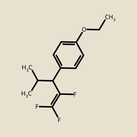 CCOc1ccc(C(C(F)=C(F)F)C(C)C)cc1